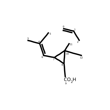 C=CC.CC(C)=CC1C(C(=O)O)C1(C)C